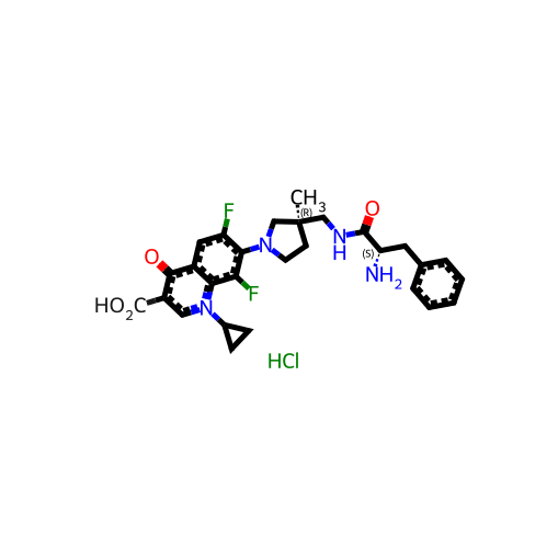 C[C@]1(CNC(=O)[C@@H](N)Cc2ccccc2)CCN(c2c(F)cc3c(=O)c(C(=O)O)cn(C4CC4)c3c2F)C1.Cl